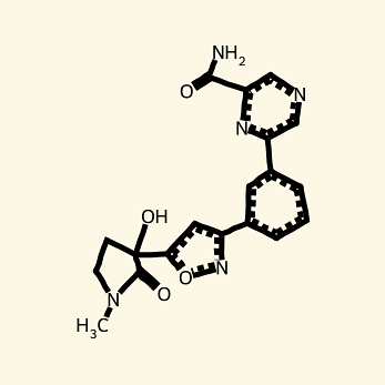 CN1CCC(O)(c2cc(-c3cccc(-c4cncc(C(N)=O)n4)c3)no2)C1=O